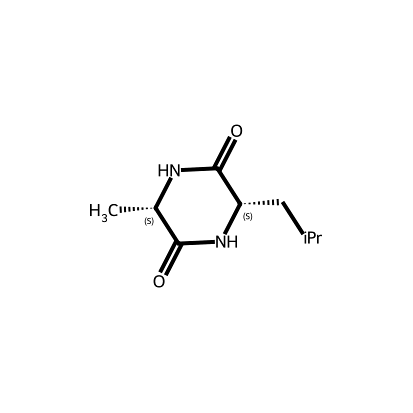 CC(C)C[C@@H]1NC(=O)[C@H](C)NC1=O